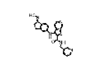 O=C(NCc1cccnc1)c1sc2cnccc2c1Nc1ccc2c(c1)CCC2=NO